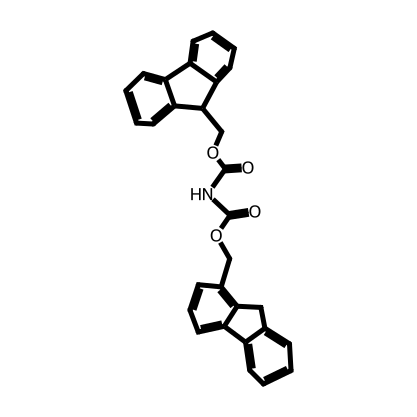 O=C(NC(=O)OCC1c2ccccc2-c2ccccc21)OCc1cccc2c1Cc1ccccc1-2